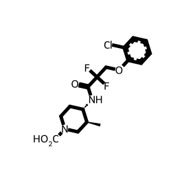 C[C@H]1CN(C(=O)O)CC[C@@H]1NC(=O)C(F)(F)COc1ccccc1Cl